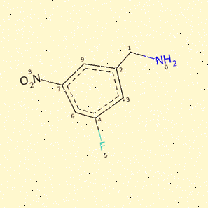 NCc1[c]c(F)cc([N+](=O)[O-])c1